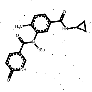 Cc1ccc(C(=O)NC2CC2)cc1N(C(=O)c1ccc(=O)[nH]c1)C(C)(C)C